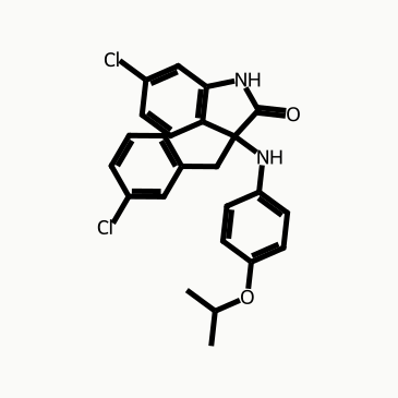 CC(C)Oc1ccc(NC2(Cc3cccc(Cl)c3)C(=O)Nc3cc(Cl)ccc32)cc1